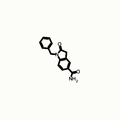 NC(=O)c1ccc2c(c1)CC(=O)N2Cc1ccccc1